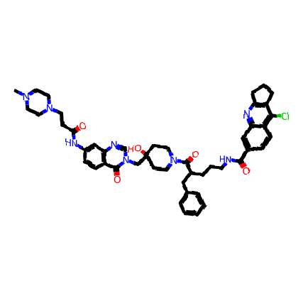 CN1CCN(CCC(=O)Nc2ccc3c(=O)n(CC4(O)CCN(C(=O)C(CCCNC(=O)c5ccc6c(Cl)c7c(nc6c5)CCC7)Cc5ccccc5)CC4)cnc3c2)CC1